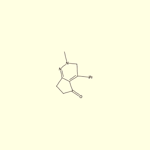 CC(C)C1=C2C(=O)CCC2=NN(C)C1